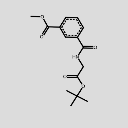 COC(=O)c1cccc(C(=O)NCC(=O)OC(C)(C)C)c1